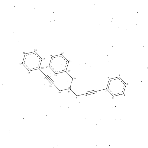 C(#Cc1ccccc1)CN(CC#Cc1ccccc1)Cc1ccccc1